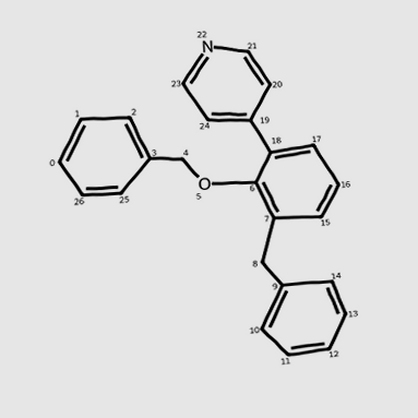 c1ccc(COc2c(Cc3ccccc3)cccc2-c2ccncc2)cc1